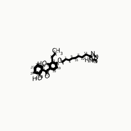 CCCc1c(OCCCCCCCCc2nnn[nH]2)ccc(C(=O)c2ccccc2O)c1O